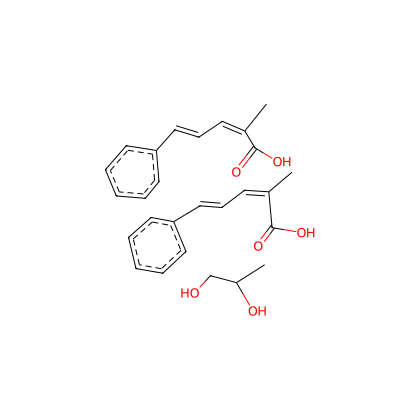 CC(=CC=Cc1ccccc1)C(=O)O.CC(=CC=Cc1ccccc1)C(=O)O.CC(O)CO